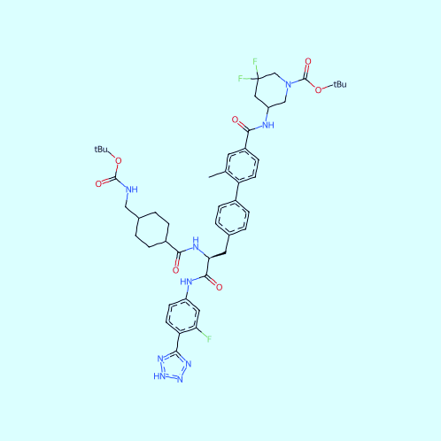 Cc1cc(C(=O)NC2CN(C(=O)OC(C)(C)C)CC(F)(F)C2)ccc1-c1ccc(C[C@H](NC(=O)C2CCC(CNC(=O)OC(C)(C)C)CC2)C(=O)Nc2ccc(-c3nn[nH]n3)c(F)c2)cc1